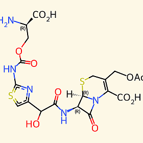 CC(=O)OCC1=C(C(=O)O)N2C(=O)[C@@H](NC(=O)C(O)c3csc(NC(=O)OC[C@@H](N)C(=O)O)n3)[C@H]2SC1